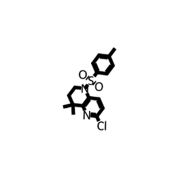 Cc1ccc(S(=O)(=O)N2CCC(C)(C)c3nc(Cl)ccc32)cc1